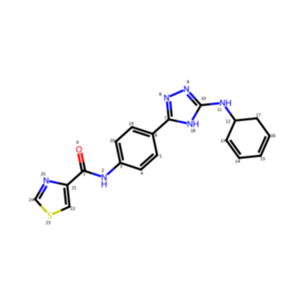 O=C(Nc1ccc(-c2nnc(NC3C=CC=CC3)[nH]2)cc1)c1cscn1